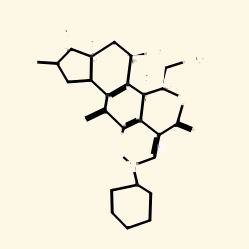 COC[C@H]1OC(=O)/C(=C/N(C)C2CCCCC2)C2=C(O)C(=O)C3=C([C@H](OC(C)=O)C[C@H]4C3CC(C)[C@@H]4O)[C@]21C